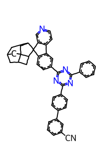 N#Cc1cccc(-c2ccc(-c3nc(-c4ccccc4)nc(-c4ccc5c(c4)-c4ccncc4C54C5CC6CC7CC4C7(C6)C5)n3)cc2)c1